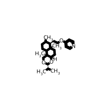 CC(C)[C@@H]1OC[C@@]2(C)C3CCC(C)[C@@H](CCOc4ccncc4)[C@]3(C)CC[C@H]2O1